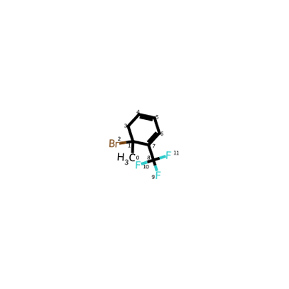 CC1(Br)CC=CC=C1C(F)(F)F